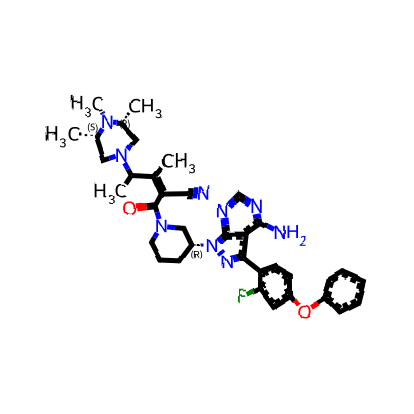 CC(=C(C#N)C(=O)N1CCC[C@@H](n2nc(-c3ccc(Oc4ccccc4)cc3F)c3c(N)ncnc32)C1)C(C)N1C[C@@H](C)N(C)[C@@H](C)C1